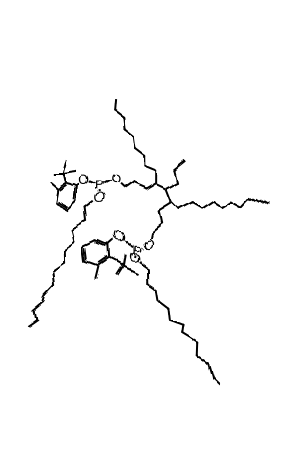 CCCCCCCCCCCCCOP(OCCCC(CCCCCCCCC)C(CCC)C(CCCCCCCCC)CCCOP(OCCCCCCCCCCCCC)Oc1cccc(C)c1C(C)(C)C)Oc1cccc(C)c1C(C)(C)C